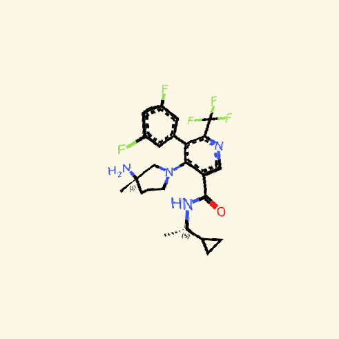 C[C@H](NC(=O)c1cnc(C(F)(F)F)c(-c2cc(F)cc(F)c2)c1N1CC[C@](C)(N)C1)C1CC1